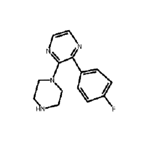 Fc1ccc(-c2nccnc2N2CCNCC2)cc1